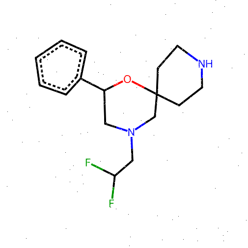 FC(F)CN1CC(c2ccccc2)OC2(CCNCC2)C1